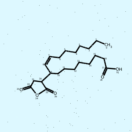 CCCCCCC/C=C\C(CCCCCCCC(=O)O)C1CC(=O)OC1=O